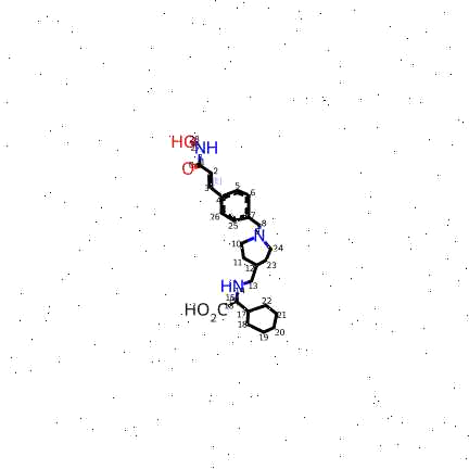 O=C(/C=C/c1ccc(CN2CCC(CN[C@H](C(=O)O)C3CCCCC3)CC2)cc1)NO